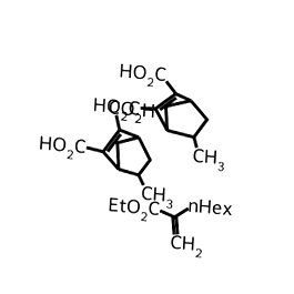 C=C(CCCCCC)C(=O)OCC.CC1CC2CC1C(C(=O)O)=C2C(=O)O.CC1CC2CC1C(C(=O)O)=C2C(=O)O